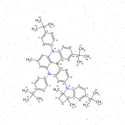 Cc1cc2c3c(c1)N(c1ccc(C(C)(C)C)cc1)c1cc(N4c5ccc(C(C)(C)C)cc5C5(C)CCC45C)ccc1B3c1cc(C(C)(C)C)ccc1N2c1ccc(C(C)(C)C)cc1